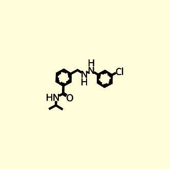 CC(C)NC(=O)c1cccc(CNNc2cccc(Cl)c2)c1